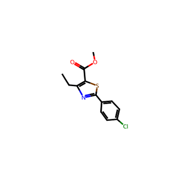 CCc1nc(-c2ccc(Cl)cc2)sc1C(=O)OC